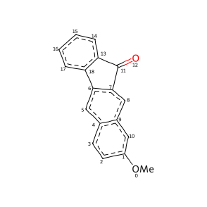 COc1ccc2cc3c(cc2c1)C(=O)c1ccccc1-3